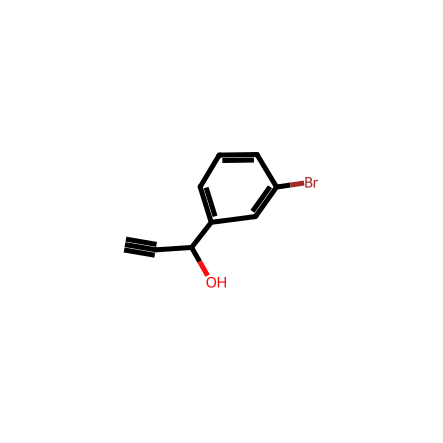 C#CC(O)c1cccc(Br)c1